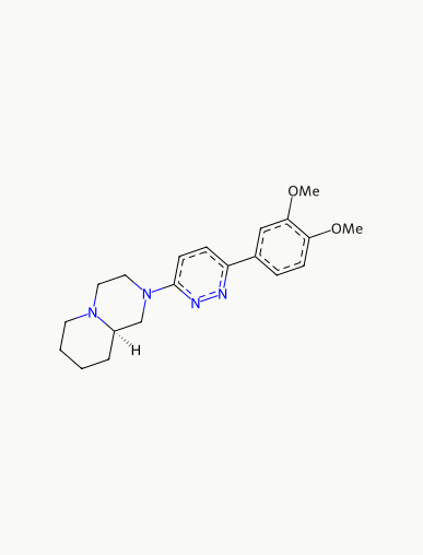 COc1ccc(-c2ccc(N3CCN4CCCC[C@@H]4C3)nn2)cc1OC